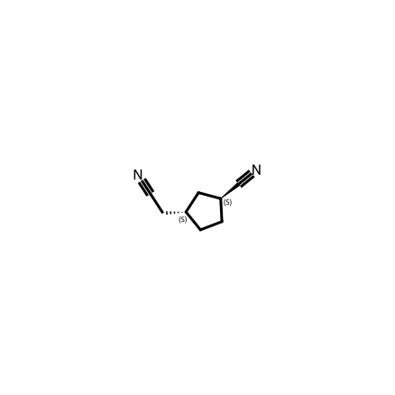 N#CC[C@H]1CC[C@H](C#N)C1